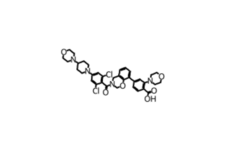 O=C(O)c1ccc(-c2cccc3c2OCN(C(=O)c2c(Cl)cc(N4CCC(N5CCOCC5)CC4)cc2Cl)C3)cc1N1CCOCC1